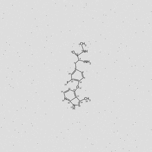 CNC(=O)C(N)Cc1ccc(Oc2ccnc3[nH]cc(C)c23)c(F)c1